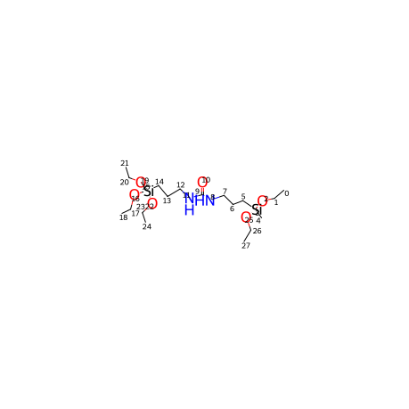 CCO[Si](C)(CCCNC(=O)NCCC[Si](OCC)(OCC)OCC)OCC